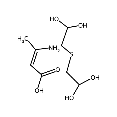 CC(N)=CC(=O)O.OC(O)CSCC(O)O